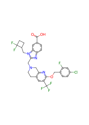 O=C(O)c1ccc2nc(CN3CCc4cc(C(F)(F)F)c(OCc5ccc(Cl)cc5F)nc4C3)n(CC3CCC3(F)F)c2c1